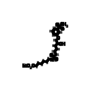 CCOC(=O)CCCCCCNS(=O)(=O)CCCCC(O)COc1cccc(S(C)(=O)=O)c1